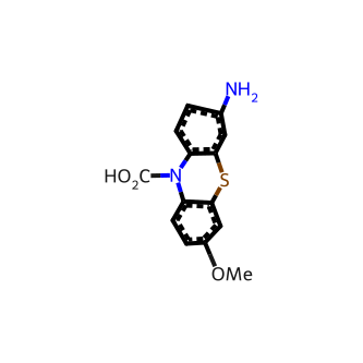 COc1ccc2c(c1)Sc1cc(N)ccc1N2C(=O)O